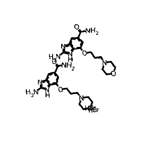 Br.Br.NC(=O)c1cc(OCCCN2CCOCC2)c2[nH]c(N)nc2c1.NC(=O)c1cc(OCCCN2CCOCC2)c2[nH]c(N)nc2c1